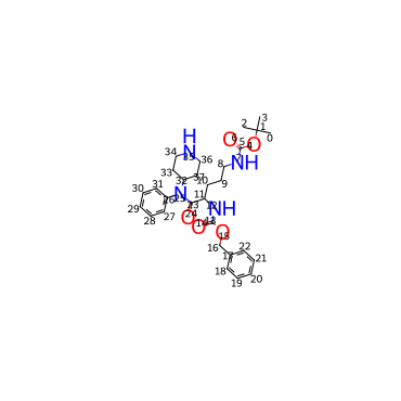 CC(C)(C)OC(=O)NCCCC(NC(=O)OCc1ccccc1)C(=O)N(c1ccccc1)C1CCNCC1